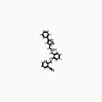 N#Cc1cccnc1COc1ccccc1CNCc1cc(-c2ccccc2)on1